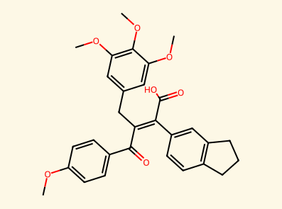 COc1ccc(C(=O)/C(Cc2cc(OC)c(OC)c(OC)c2)=C(/C(=O)O)c2ccc3c(c2)CCC3)cc1